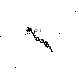 CCCCCc1ccc2cc(C3=CCC(C4CCC(CCCC(CCO)CCN5C(=O)C(C)=C(C)C5C)CC4)CC3)ccc2c1